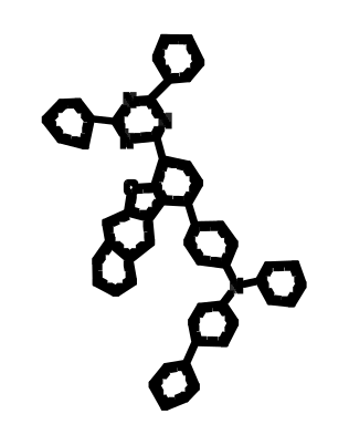 c1ccc(-c2ccc(N(c3ccccc3)c3ccc(-c4ccc(-c5nc(-c6ccccc6)nc(-c6ccccc6)n5)c5oc6cc7ccccc7cc6c45)cc3)cc2)cc1